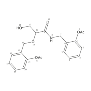 CC(=O)Oc1ccccc1CNC(=O)C(CO)OCc1ccccc1OC(C)=O